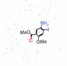 COC(=O)c1cc(N)c(I)cc1OC